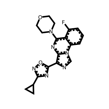 Fc1cccc2c1c(N1CCOCC1)nc1c(-c3nc(C4CC4)no3)ncn12